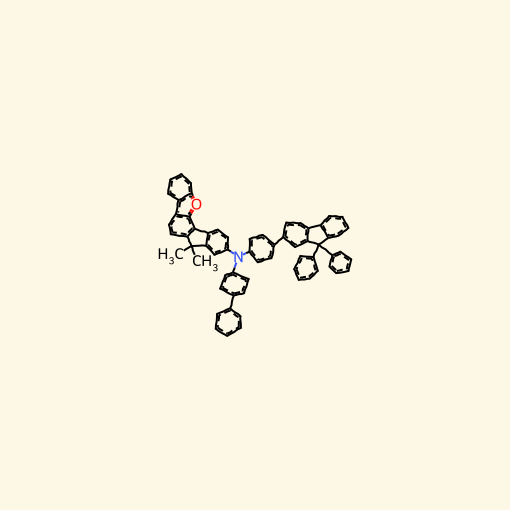 CC1(C)c2cc(N(c3ccc(-c4ccccc4)cc3)c3ccc(-c4ccc5c(c4)C(c4ccccc4)(c4ccccc4)c4ccccc4-5)cc3)ccc2-c2c1ccc1c2oc2ccccc21